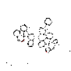 c1ccc(-c2ccc(N(c3cccc4c3-c3ccccc3C43c4ccccc4Oc4ccccc43)c3cc4c(c5ccccc35)C3(c5ccccc5Oc5ccccc53)c3ccccc3-4)cc2)cc1